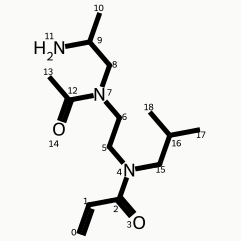 C=CC(=O)N(CCN(CC(C)N)C(C)=O)CC(C)C